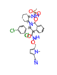 Cn1c(C#N)ccc1CONC(=O)[C@@H]1c2ccccc2C(=O)N([C@H]2CCCC[C@@H]2NS(C)(=O)=O)[C@H]1c1ccc(Cl)cc1Cl